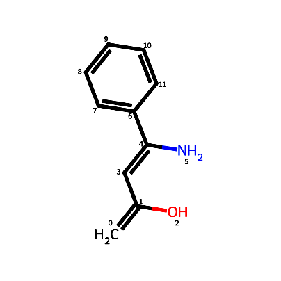 C=C(O)/C=C(\N)c1ccccc1